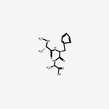 CN[C@@H](C)C(=O)N[C@@H](Cc1ccccc1)C(=O)N[C@H](C)C(=O)O